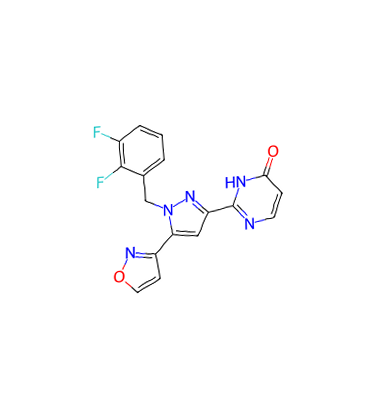 O=c1ccnc(-c2cc(-c3ccon3)n(Cc3cccc(F)c3F)n2)[nH]1